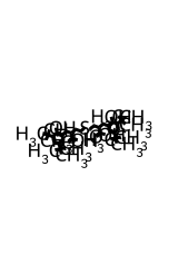 CC(C)(C)c1cc(CC(CCSCCC(Cc2cc(C(C)(C)C)cc(C(C)(C)C)c2O)C(=O)O)C(=O)O)c(O)c(C(C)(C)C)c1